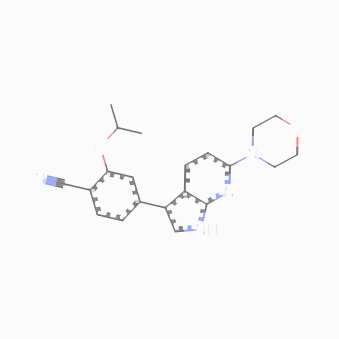 CC(C)Oc1cc(-c2c[nH]c3nc(N4CCOCC4)ccc23)ccc1C#N